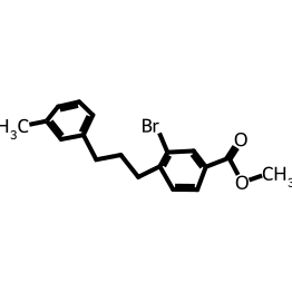 COC(=O)c1ccc(CCCc2cccc(C)c2)c(Br)c1